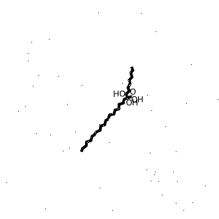 CCCCCCCCCCCCCCCCCCCCC(O)(CO)C(O)C(=O)CCCCCCC